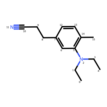 CCN(CC)c1cc(CCC#N)ccc1C